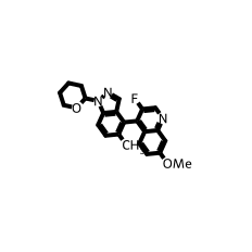 COc1ccc2c(-c3c(C)ccc4c3cnn4C3CCCCO3)c(F)cnc2c1